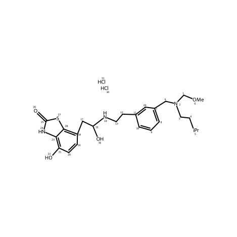 COCN(CCC(C)C)Cc1cccc(CCNC(O)Cc2ccc(O)c3[nH]c(=O)sc23)c1.Cl.Cl